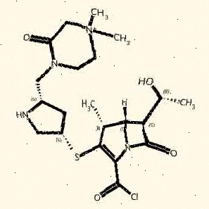 C[C@@H](O)[C@H]1C(=O)N2C(C(=O)Cl)=C(S[C@@H]3CN[C@H](CN4CC[N+](C)(C)CC4=O)C3)[C@H](C)[C@H]12